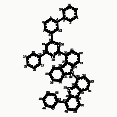 c1ccc(-c2cccc(-c3cc(-c4ccccc4)nc(-c4cccc5c4c4ccccc4n5-c4cccc5c4sc4c(-c6ccccc6)cccc45)n3)c2)cc1